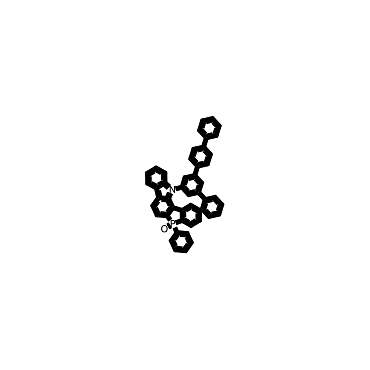 O=P1(c2ccccc2)c2ccccc2-c2c1ccc1c3ccccc3n(-c3cc(-c4ccccc4)cc(-c4ccc(-c5ccccc5)cc4)c3)c21